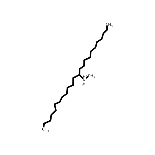 CCCCCCCCCCCCC(CCCCCCCCCCC)[NH+](C)[O-]